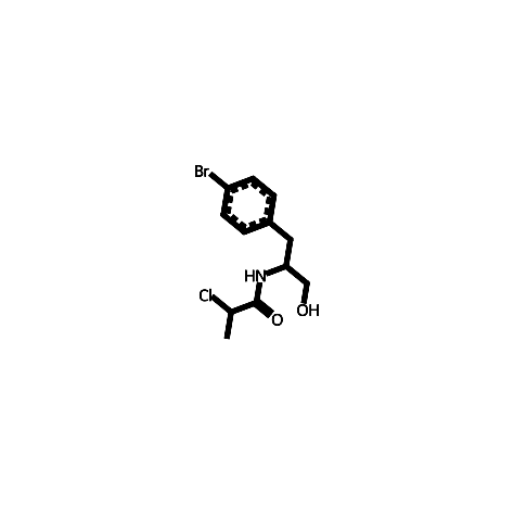 CC(Cl)C(=O)NC(CO)Cc1ccc(Br)cc1